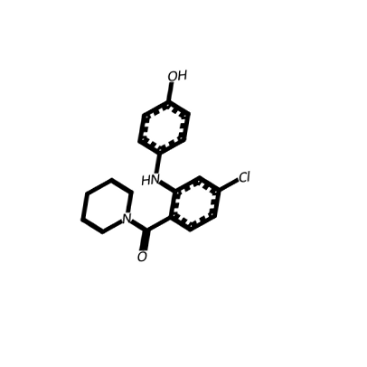 O=C(c1ccc(Cl)cc1Nc1ccc(O)cc1)N1CCCCC1